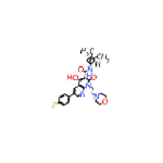 C[C@@H]1C2(C)CC1(NC(=O)c1c(O)c3cc(-c4ccc(F)cc4)cnc3n(CCN3CCOCC3)c1=O)C2